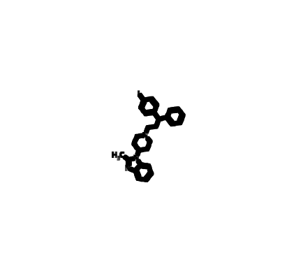 Cc1nc2ccccc2n1C1CCN(CCC(c2ccccc2)c2ccc(I)cc2)CC1